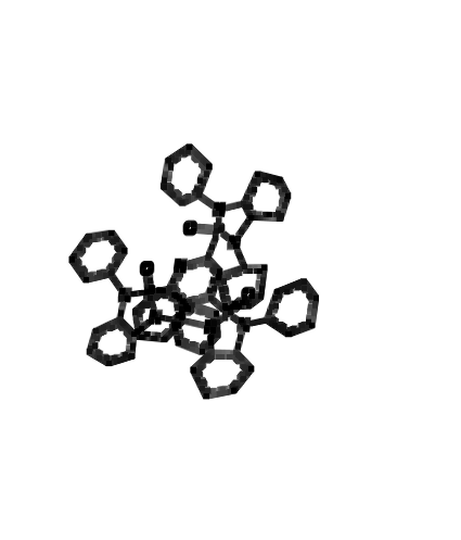 O=P1(c2cc(P3(=O)N(c4ccccc4)c4ccccc4N3c3ccccc3)nc(P3(=O)N(c4ccccc4)c4ccccc4N3c3ccccc3)n2)N(c2ccccc2)c2ccccc2N1c1ccccc1